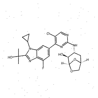 CC(C)(O)c1nc2c(F)cc(-c3nc(N[C@@H]4C[C@H]5CO[C@H](O5)[C@H]4O)ncc3Cl)cc2n1C1CC1